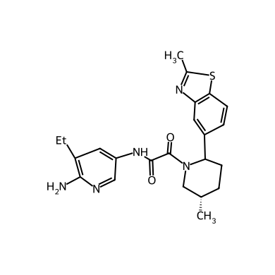 CCc1cc(NC(=O)C(=O)N2C[C@@H](C)CCC2c2ccc3sc(C)nc3c2)cnc1N